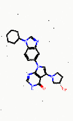 O=c1[nH]cnc2c1c(N1CC[C@H](O)C1)cn2-c1ccc2c(c1)ncn2C1CCCCC1